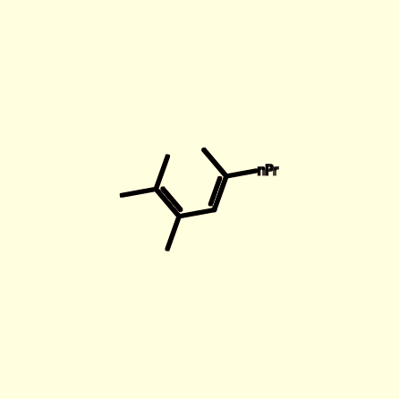 CCCC(C)=CC(C)=C(C)C